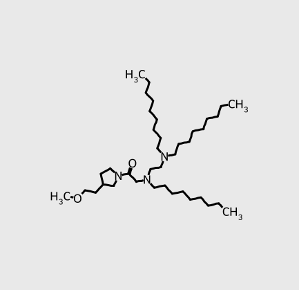 CCCCCCCCCN(CCCCCCCCC)CCN(CCCCCCCCC)CC(=O)N1CCC(CCOC)C1